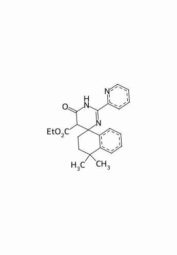 CCOC(=O)C1C(=O)NC(c2ccccn2)=NC12CCC(C)(C)c1ccccc12